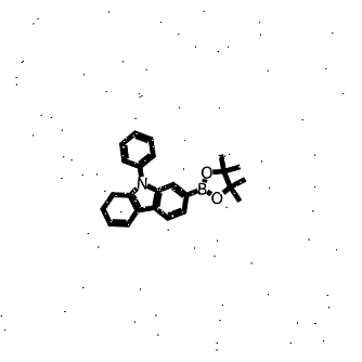 CC1(C)OB(c2ccc3c4c(n(-c5ccccc5)c3c2)CCC=C4)OC1(C)C